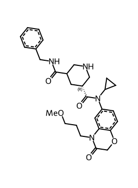 COCCCN1C(=O)COc2ccc(N(C(=O)[C@H]3CNCC(C(=O)NCc4ccccc4)C3)C3CC3)cc21